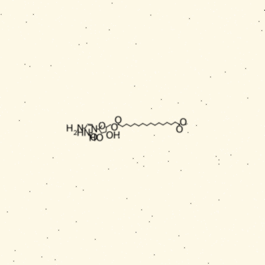 COC(=O)CCCCCCCCCCCCCCC(=O)OCC1OC(N2C=CC(N)NC2=O)C(O)C1O